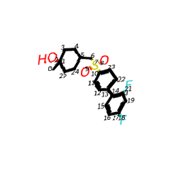 CC1(O)CCC(CS(=O)(=O)c2ccc(-c3ccc(F)cc3F)cc2)CC1